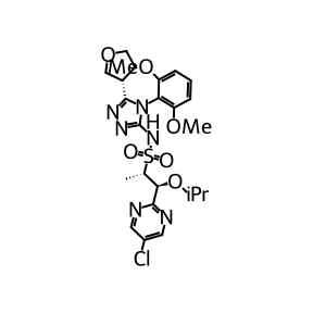 COc1cccc(OC)c1-n1c(NS(=O)(=O)[C@@H](C)[C@@H](OC(C)C)c2ncc(Cl)cn2)nnc1[C@H]1CCOC1